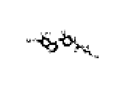 COc1cc2nccc(Oc3ccc(NC(=O)NCCC(C)(C)C)cc3Cl)c2cc1OC